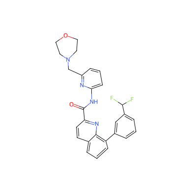 O=C(Nc1cccc(CN2CCOCC2)n1)c1ccc2cccc(-c3cccc(C(F)F)c3)c2n1